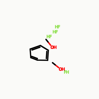 CO.CO.F.F.F.F.c1ccccc1